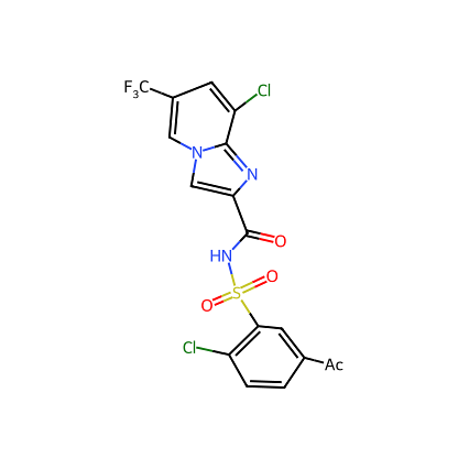 CC(=O)c1ccc(Cl)c(S(=O)(=O)NC(=O)c2cn3cc(C(F)(F)F)cc(Cl)c3n2)c1